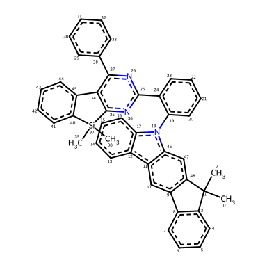 CC1(C)c2ccccc2-c2cc3c4ccccc4n(-c4ccccc4-c4nc(-c5ccccc5)c5c(n4)[Si](C)(C)c4ccccc4-5)c3cc21